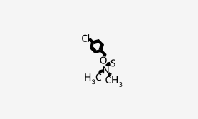 CCN(CC)C(=S)OCc1ccc(Cl)cc1